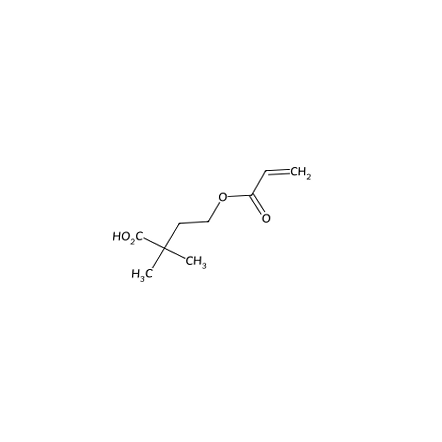 C=CC(=O)OCCC(C)(C)C(=O)O